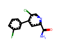 NC(=O)c1cc(-c2cccc(F)c2)c(Cl)cn1